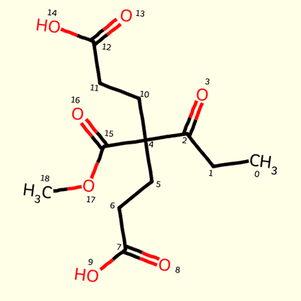 CCC(=O)C(CCC(=O)O)(CCC(=O)O)C(=O)OC